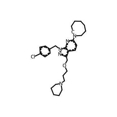 Clc1ccc(Cn2nc(COCCCN3CCCCC3)c3ccc(N4CCCCCCC4)nc32)cc1